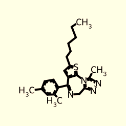 CCCCCCc1cc2c(s1)-n1c(C)nnc1CN=C2c1ccc(C)cc1C